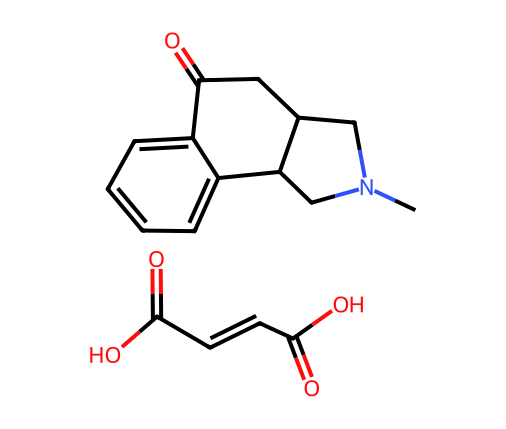 CN1CC2CC(=O)c3ccccc3C2C1.O=C(O)C=CC(=O)O